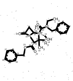 CCN(Cc1ccccc1)C(=O)[S@]1(CO)[C@@H]2CC(=O)N2[C@@H](C(=O)OCc2ccccc2)C1(C)C